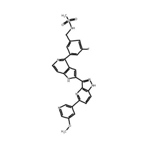 COc1cncc(-c2ccc3[nH]nc(-c4cc5c(-c6cc(F)cc(CNS(C)(=O)=O)c6)nccc5[nH]4)c3n2)c1